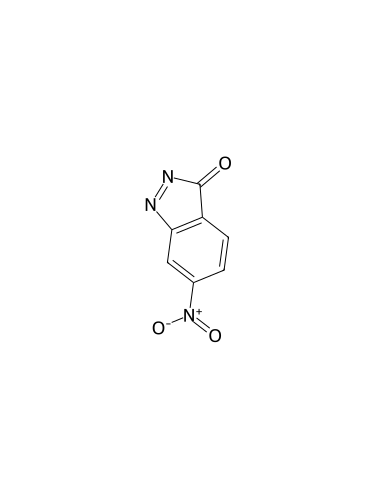 O=C1N=Nc2cc([N+](=O)[O-])ccc21